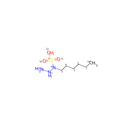 CCCCCCN(NN)S(=O)(=O)O